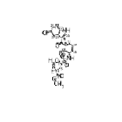 COC(=O)C1(CN(C)S(=O)(=O)Nc2cccc(C(=O)c3c[nH]c4ncc(Cl)cc34)c2F)CC1